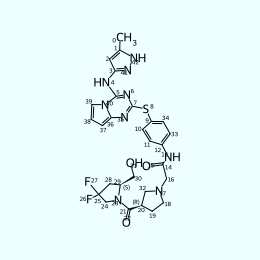 Cc1cc(Nc2nc(Sc3ccc(NC(=O)CN4CC[C@@H](C(=O)N5CC(F)(F)C[C@H]5CO)C4)cc3)nc3cccn23)n[nH]1